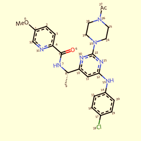 COc1ccc(C(=O)N[C@@H](C)c2cc(Nc3ccc(Cl)cc3)nc(N3CCN(C(C)=O)CC3)n2)nc1